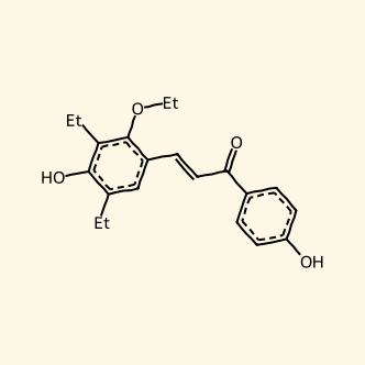 CCOc1c(/C=C/C(=O)c2ccc(O)cc2)cc(CC)c(O)c1CC